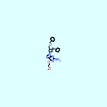 COCCOc1nc(N)nc2c1ncn2C1CC(COCc2ccccc2)C([Se]c2ccccc2)C1